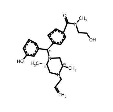 C=CCN1C[C@H](C)N([C@H](c2ccc(C(=O)N(C)CCO)cc2)c2cccc(O)c2)C[C@H]1C